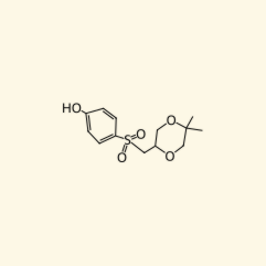 CC1(C)COC(CS(=O)(=O)c2ccc(O)cc2)CO1